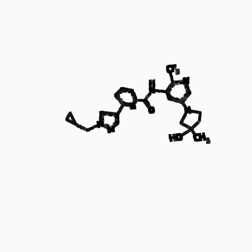 CC1(O)CCN(c2cnc(C(F)(F)F)c(NC(=O)c3cccc(-c4cnn(CC5CC5)c4)n3)c2)C1